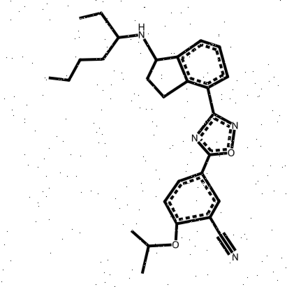 CCCCC(CC)NC1CCc2c(-c3noc(-c4ccc(OC(C)C)c(C#N)c4)n3)cccc21